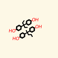 CCC(CC)(c1ccc(O)cc1)c1ccc(O)cc1.CCCC(C)(c1ccc(O)cc1)c1ccc(O)cc1